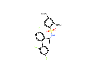 COc1ccc(S(=O)(=O)NC(C)c2cc(F)ccc2-c2ccc(F)cc2F)c(OC)c1